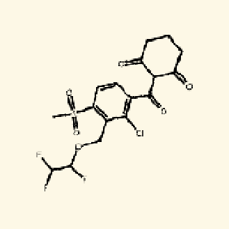 CS(=O)(=O)c1ccc(C(=O)C2C(=O)CCCC2=O)c(Cl)c1COC(F)C(F)F